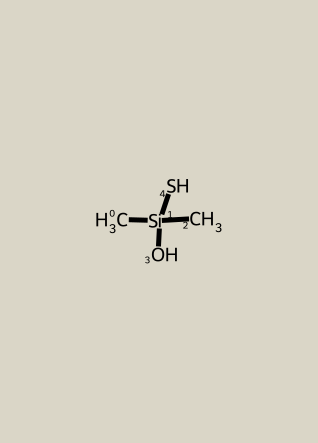 C[Si](C)(O)S